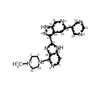 CN1CCN(c2nccc3[nH]c(-c4n[nH]c5cnc(-c6cncnc6)cc45)nc23)CC1